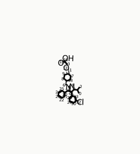 CC(C)c1nn(C[C@H]2CC[C@H](COCC(=O)O)CC2)c(-c2ccccc2)c1-c1cccc(Cl)c1